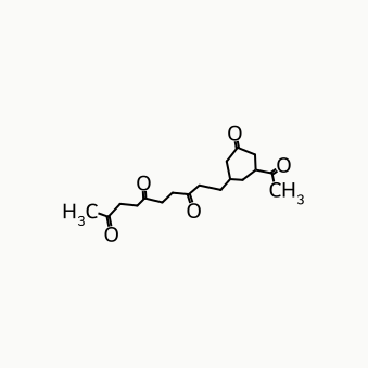 CC(=O)CCC(=O)CCC(=O)CCC1CC(=O)CC(C(C)=O)C1